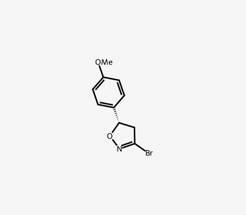 COc1ccc([C@@H]2CC(Br)=NO2)cc1